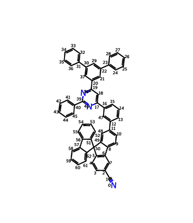 N#Cc1ccc2c(c1)-c1ccc(-c3cccc(-c4cc(-c5cc(-c6ccccc6)cc(-c6ccccc6)c5)nc(-c5ccccc5)n4)c3)cc1C21c2ccccc2-c2ccccc21